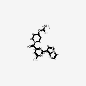 NC(=O)OC1CCN(C(=O)c2cc(Cl)nc(-c3cnn4ccsc34)n2)CC1